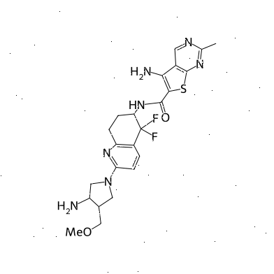 COCC1CN(c2ccc3c(n2)CCC(NC(=O)c2sc4nc(C)ncc4c2N)C3(F)F)CC1N